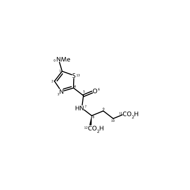 CNc1cnc(C(=O)N[C@@H](CCC(=O)O)C(=O)O)s1